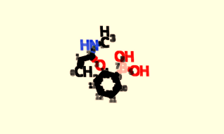 C=CC(=O)NC.OB(O)c1ccccc1